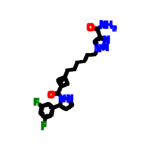 NC(=O)c1cn(CCCCCCC23CC(C(=O)N4N=CCC4c4cc(F)cc(F)c4)(C2)C3)nn1